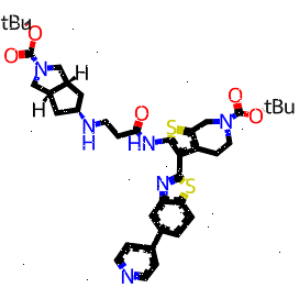 CC(C)(C)OC(=O)N1CCc2c(sc(NC(=O)CCN[C@H]3C[C@@H]4CN(C(=O)OC(C)(C)C)C[C@@H]4C3)c2-c2nc3cc(-c4ccncc4)ccc3s2)C1